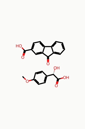 COc1ccc([C@H](O)C(=O)O)cc1.O=C(O)c1ccc2c(c1)C(=O)c1ccccc1-2